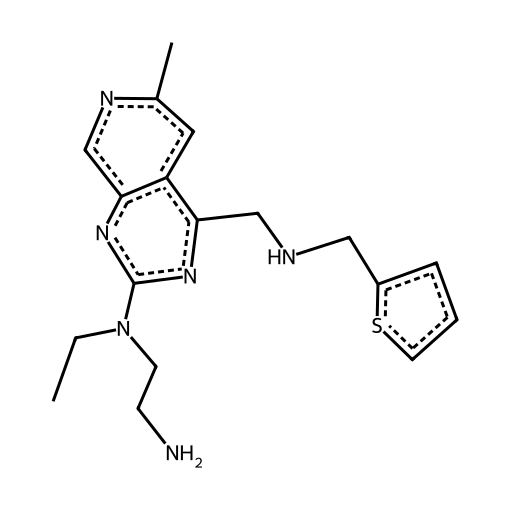 CCN(CCN)c1nc(CNCc2cccs2)c2cc(C)ncc2n1